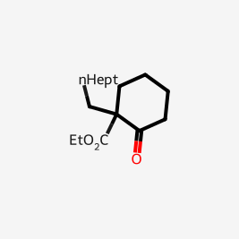 CCCCCCCCC1(C(=O)OCC)CCCCC1=O